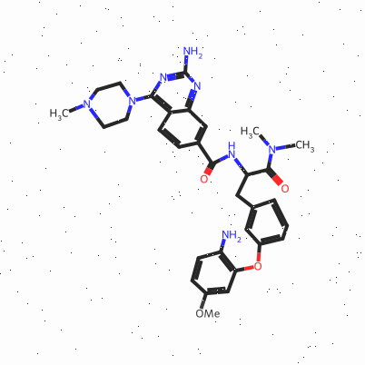 COc1ccc(N)c(Oc2cccc(CC(NC(=O)c3ccc4c(N5CCN(C)CC5)nc(N)nc4c3)C(=O)N(C)C)c2)c1